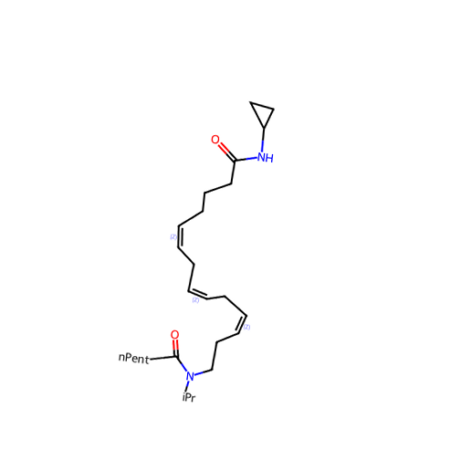 CCCCCC(=O)N(CC/C=C\C/C=C\C/C=C\CCCC(=O)NC1CC1)C(C)C